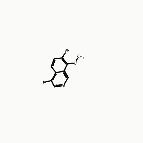 COc1c(Br)ccc2c(I)cncc12